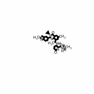 Cc1cc([C@@H](C)Nc2ccc(Cl)nc2C(=O)NS(C)(=O)=O)c2nc(-c3ccc4nn(C)cc4c3)n(C3CC3)c(=O)c2c1